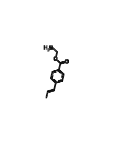 C/C=C/c1ccc(C(=O)OC[SiH3])cc1